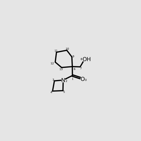 O=C(N1CCC1)C1(CO)CCCCC1